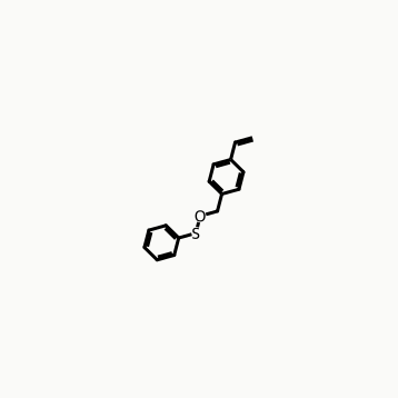 C=Cc1ccc(COSc2ccccc2)cc1